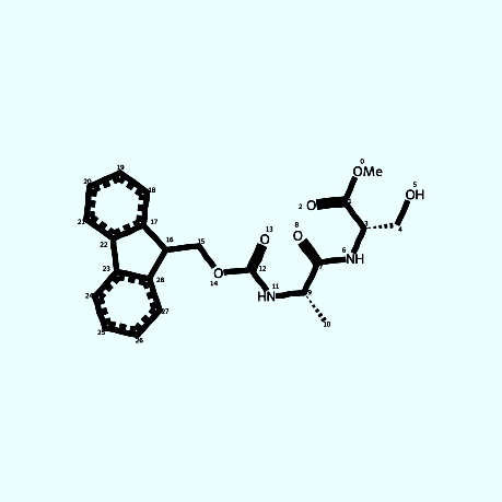 COC(=O)[C@H](CO)NC(=O)[C@H](C)NC(=O)OCC1c2ccccc2-c2ccccc21